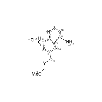 COCCOc1ccc2nccc(N)c2n1.Cl.Cl